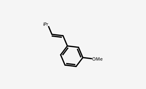 COc1cccc(/C=C/C(C)C)c1